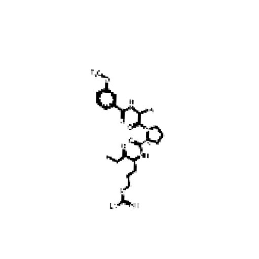 CC(C)C(NC(=O)c1cccc(OC(F)(F)F)c1)C(=O)N1CCC[C@H]1C(=O)NC(CCCNC(=N)N)C(=O)CF